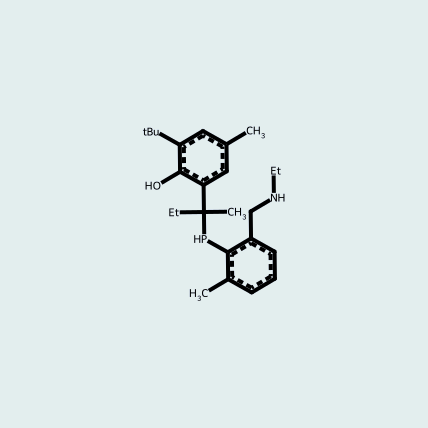 CCNCc1cccc(C)c1PC(C)(CC)c1cc(C)cc(C(C)(C)C)c1O